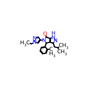 CCn1cc(N2C(=O)c3[nH]nc(CC(C)C)c3C2c2ccccc2C)cn1